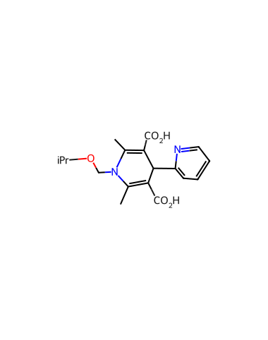 CC1=C(C(=O)O)C(c2ccccn2)C(C(=O)O)=C(C)N1COC(C)C